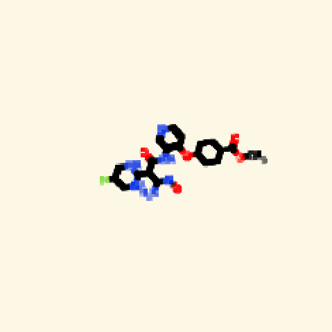 COC(=O)[C@H]1CC[C@@H](Oc2ccncc2NC(=O)C(C(N)N=O)C2NCC(F)CN2)CC1